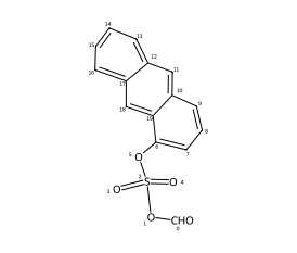 O=COS(=O)(=O)Oc1cccc2cc3ccccc3cc12